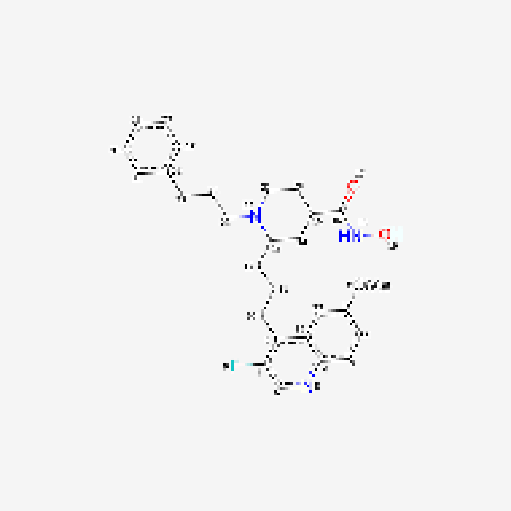 COc1ccc2ncc(F)c(CCCC3CC(C(=O)NO)CCN3CCCc3ccccc3)c2c1